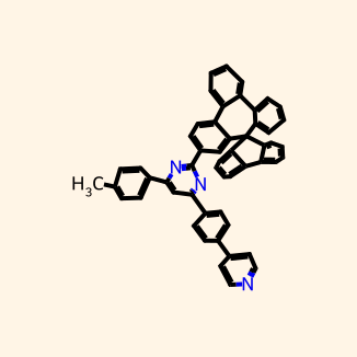 Cc1ccc(-c2cc(-c3ccc(-c4ccncc4)cc3)nc(-c3ccc4c(c3)C3(c5ccccc5-c5ccccc5-4)c4ccccc4-c4ccccc43)n2)cc1